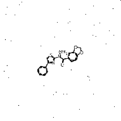 NN(C(=O)c1ccc2c(c1)OCO2)c1nc(-c2ccccc2)cs1